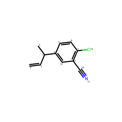 [CH2]C(C=C)c1ccc(Cl)c(C#N)c1